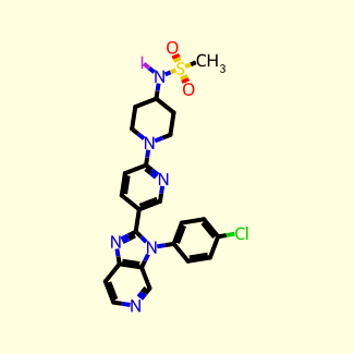 CS(=O)(=O)N(I)C1CCN(c2ccc(-c3nc4ccncc4n3-c3ccc(Cl)cc3)cn2)CC1